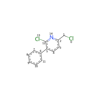 ClCc1ccc(-c2ccccc2)c(Cl)n1